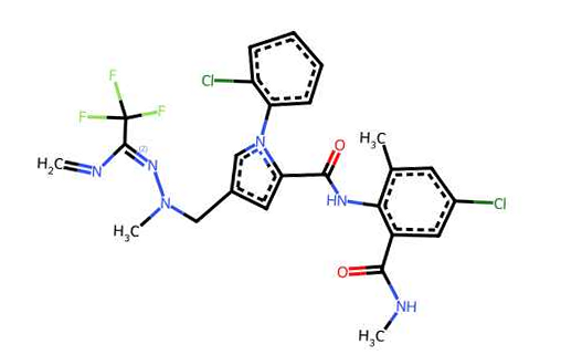 C=N/C(=N\N(C)Cc1cc(C(=O)Nc2c(C)cc(Cl)cc2C(=O)NC)n(-c2ccccc2Cl)c1)C(F)(F)F